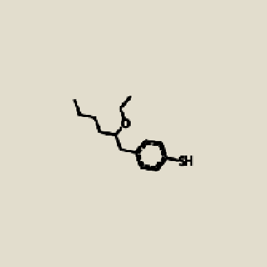 CCCCC(Cc1ccc(S)cc1)OCC